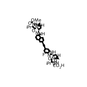 COC(=O)N[C@H](C(=O)N1[C@@H]2C[C@@H]2C[C@H]1c1nc2ccc3cc(C#Cc4cc(F)c5nc([C@@H]6C[C@H]7C[C@H]7N6C(=O)[C@@H](NC(=O)O)C(C)C)[nH]c5c4)ccc3c2[nH]1)C(C)C